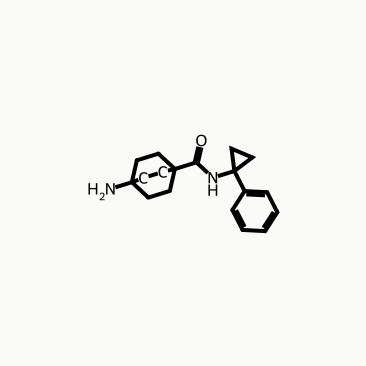 NC12CCC(C(=O)NC3(c4ccccc4)CC3)(CC1)CC2